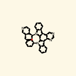 c1ccc(-n2c3ccccc3c3c4ncncc4c4c5ccccc5n(-c5cccc6cnccc56)c4c32)cc1